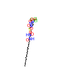 CCC=CCC=CCC=CCC=CCC=CCC=CCCC(=O)NCCNC(=O)OC[C@@H]1O[C@H](n2ccc(N(CC(Cl)(Cl)Cl)C(=O)O)nc2=O)CS1